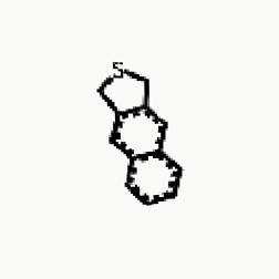 c1ccc2cc3c(cc2c1)CSC3